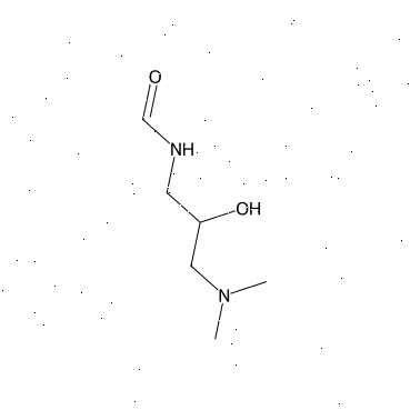 CN(C)CC(O)CNC=O